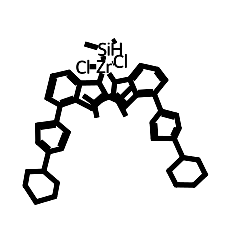 CC(C)C1=Cc2c(-c3ccc(C4CCCCC4)cc3)cccc2[CH]1[Zr]([Cl])([Cl])([CH]1C(C(C)C)=Cc2c(-c3ccc(C4CCCCC4)cc3)cccc21)[SiH](C)C